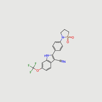 N#Cc1c(-c2ccc(N3CCCS3(=O)=O)cc2)[nH]c2cc(OC(F)(F)F)ccc12